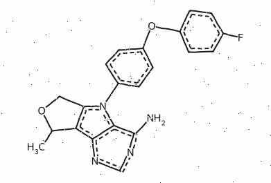 CC1OCc2c1c1ncnc(N)c1n2-c1ccc(Oc2ccc(F)cc2)cc1